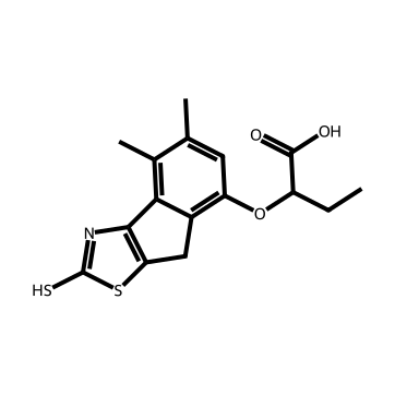 CCC(Oc1cc(C)c(C)c2c1Cc1sc(S)nc1-2)C(=O)O